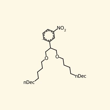 CCCCCCCCCCCCCCOCC(COCCCCCCCCCCCCCC)c1[c]ccc([N+](=O)[O-])c1